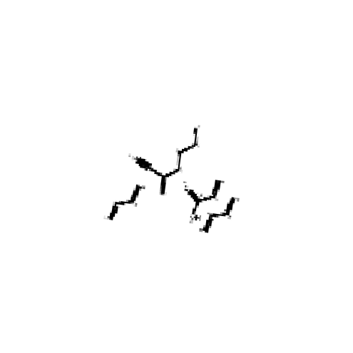 C=C(C#N)CCCC.C=CC(=O)O.C=CC=C.C=CC=C